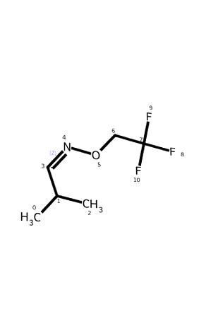 CC(C)/[C]=N\OCC(F)(F)F